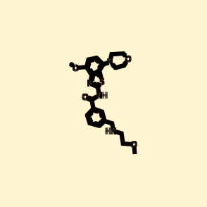 COCCNCc1cccc(C(=O)Nc2nc3c(OC)ccc(N4CCOCC4)c3s2)c1